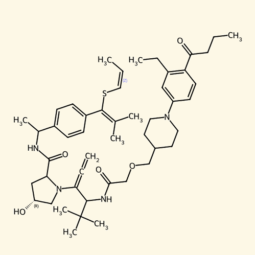 C=C=C(C(NC(=O)COCC1CCN(c2ccc(C(=O)CCC)c(CC)c2)CC1)C(C)(C)C)N1C[C@H](O)CC1C(=O)NC(C)c1ccc(C(S/C=C\C)=C(C)C)cc1